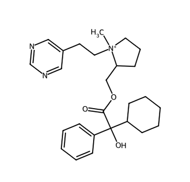 C[N+]1(CCc2cncnc2)CCCC1COC(=O)C(O)(c1ccccc1)C1CCCCC1